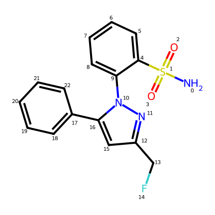 NS(=O)(=O)c1ccccc1-n1nc(CF)cc1-c1ccccc1